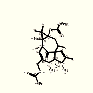 CCCCCC(=O)O[C@@]12CC(C)C34C=C(C)[C@H](O)[C@@]3(O)[C@H](O)C(COC(=O)CCC)=C[C@H](C4=O)[C@@H]1C2(C)C